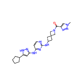 Cn1cc(C(=O)N2CC3(CC(Nc4nccc(Nc5cc(C6CCCC6)[nH]n5)n4)C3)C2)nn1